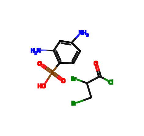 Nc1ccc(S(=O)(=O)O)c(N)c1.O=C(Cl)C(Br)CBr